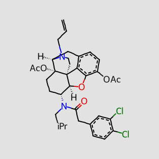 C=CCN1CC[C@]23c4c5ccc(OC(C)=O)c4O[C@H]2[C@H](N(CC(C)C)C(=O)Cc2ccc(Cl)c(Cl)c2)CC[C@@]3(OC(C)=O)[C@H]1C5